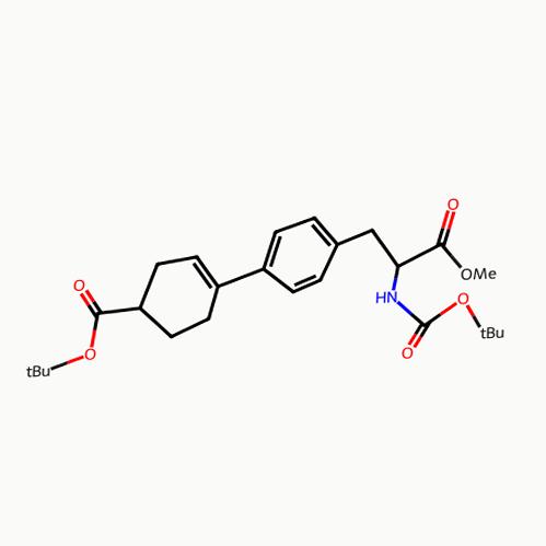 COC(=O)C(Cc1ccc(C2=CCC(C(=O)OC(C)(C)C)CC2)cc1)NC(=O)OC(C)(C)C